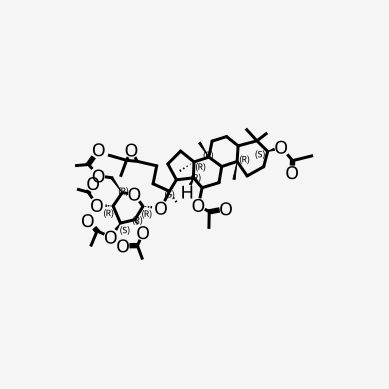 CC(=O)OC[C@H]1O[C@H](O[C@@](C)(CCC2OC2(C)C)C2CC[C@]3(C)[C@@H]2C(OC(C)=O)CC2[C@@]4(C)CC[C@H](OC(C)=O)C(C)(C)C4CC[C@]23C)[C@H](OC(C)=O)[C@@H](OC(C)=O)[C@@H]1OC(C)=O